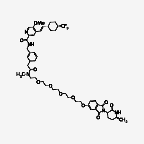 C=C1CCC(N2C(=O)c3ccc(OCCOCCOCCOCCOCCN(C)C(=O)Cc4cccc(CNC(=O)c5cc(/C=C/[C@H]6CC[C@H](C(F)(F)F)CC6)c(OC)cn5)c4)cc3C2=O)C(=O)N1